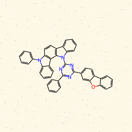 c1ccc(-c2nc(-c3ccc4c(c3)oc3ccccc34)nc(-n3c4ccccc4c4ccc5c(c6ccccc6n5-c5ccccc5)c43)n2)cc1